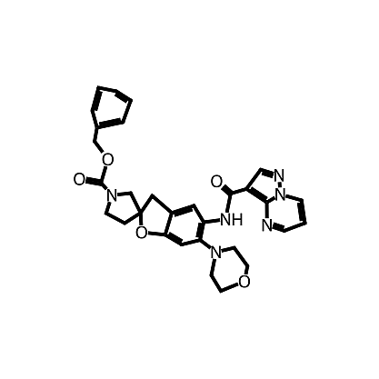 O=C(Nc1cc2c(cc1N1CCOCC1)OC1(CCN(C(=O)OCc3ccccc3)C1)C2)c1cnn2cccnc12